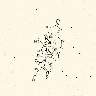 C[C@H]1C[C@H]2[C@@H]3CCC4=CC(=O)C=C[C@]4(C)[C@H]3[C@@H](O)C[C@]2(C)[C@@]1(O)C(=O)CF